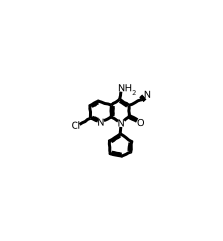 N#Cc1c(N)c2ccc(Cl)nc2n(-c2ccccc2)c1=O